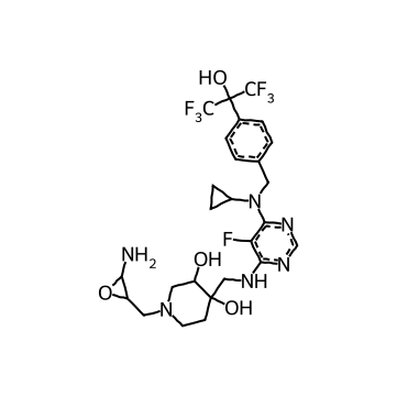 NC1OC1CN1CCC(O)(CNc2ncnc(N(Cc3ccc(C(O)(C(F)(F)F)C(F)(F)F)cc3)C3CC3)c2F)C(O)C1